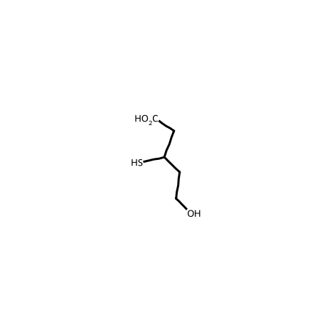 O=C(O)CC(S)CCO